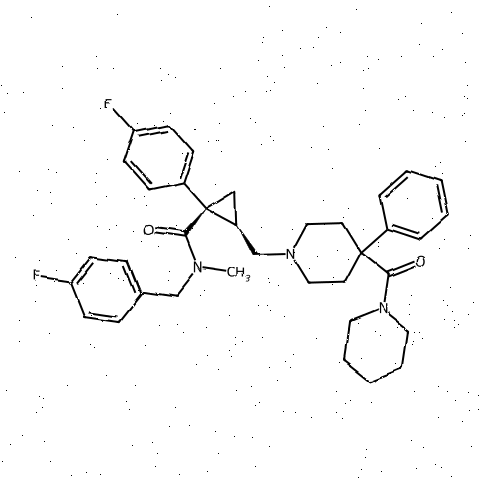 CN(Cc1ccc(F)cc1)C(=O)[C@@]1(c2ccc(F)cc2)C[C@H]1CN1CCC(C(=O)N2CCCCC2)(c2ccccc2)CC1